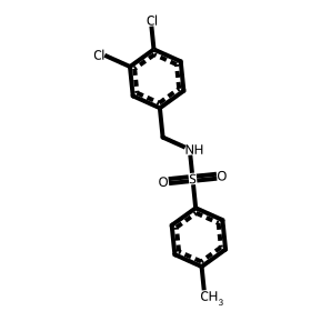 Cc1ccc(S(=O)(=O)NCc2ccc(Cl)c(Cl)c2)cc1